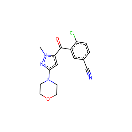 Cn1nc(N2CCOCC2)cc1C(=O)c1cc(C#N)ccc1Cl